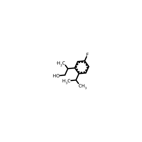 [CH2]C(CO)c1cc(F)ccc1C(C)C